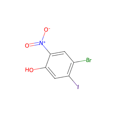 O=[N+]([O-])c1cc(Br)c(I)cc1O